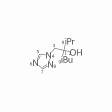 CCC(C)C(O)(Cn1cncn1)C(C)C